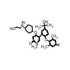 CC(=O)N(CCO)[C@H]1CC[C@H](Oc2cc(=O)n(C)cc2-c2cc(C(C)(C)O)ccc2Oc2c(C)cc(F)cc2C)CC1